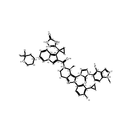 C[C@H]1c2c(nn(-c3ccc(F)c(C4CC4)c3)c2-n2ccn(-c3ccc4c(cnn4C)c3F)c2=O)CCN1C(=O)c1cn2cc([C@@H]3CCOC(C)(C)C3)ccc2c1C1(c2noc(=O)[nH]2)CC1